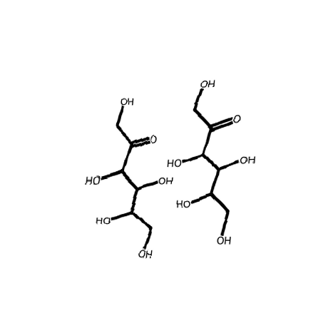 O=C(CO)C(O)C(O)C(O)CO.O=C(CO)C(O)C(O)C(O)CO